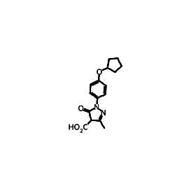 CC1=NN(c2ccc(OC3CCCC3)cc2)C(=O)C1C(=O)O